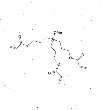 C=CC(=O)OCC[CH2][Zr]([CH2]CCOC(=O)C=C)([CH2]CCOC(=O)C=C)[O]C